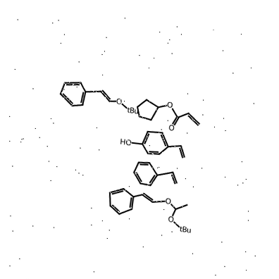 C=CC(=O)OC1CCCC1.C=Cc1ccc(O)cc1.C=Cc1ccccc1.CC(C)(C)OC=Cc1ccccc1.CC(OC=Cc1ccccc1)OC(C)(C)C